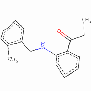 CCC(=O)c1ccccc1NCc1ccccc1C